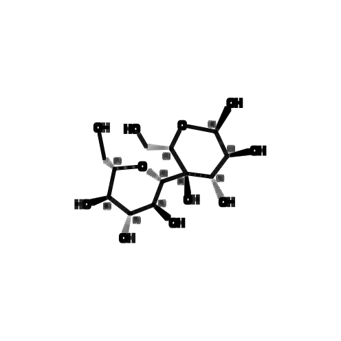 OC[C@@H]1O[C@H]([C@]2(O)[C@H](CO)O[C@@H](O)[C@@H](O)[C@@H]2O)[C@@H](O)[C@H](O)[C@H]1O